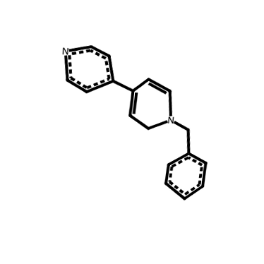 C1=CN(Cc2ccccc2)CC=C1c1ccncc1